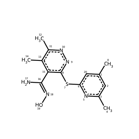 Cc1cc(C)nc(Sc2nnc(C)c(C)c2C(N)=NO)c1